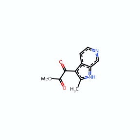 COC(=O)C(=O)c1c(C)[nH]c2cnccc12